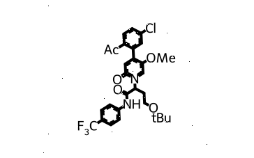 COc1cn(C(CCOC(C)(C)C)C(=O)Nc2ccc(C(F)(F)F)cc2)c(=O)cc1-c1cc(Cl)ccc1C(C)=O